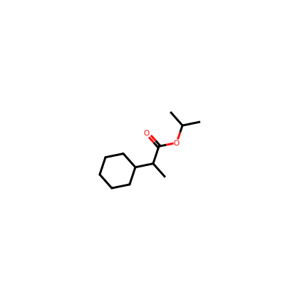 CC(C)OC(=O)C(C)C1CCCCC1